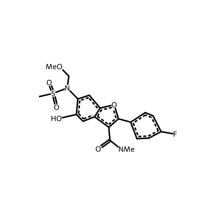 CNC(=O)c1c(-c2ccc(F)cc2)oc2cc(N(COC)S(C)(=O)=O)c(O)cc12